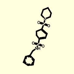 O=S(=O)(NCc1ccccc1)C1=CC=C(S(=O)(=O)N2CCCCC2)CC1